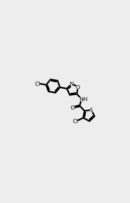 O=C(Nc1cc(-c2ccc(Cl)cc2)no1)c1sccc1Cl